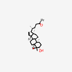 CC(C)C(=O)CC[C@@H](C)[C@H]1C=C[C@H]2C3=C(CC[C@]12C)[C@@]1(C)CC[C@H](O)C(C)(C)[C@@H]1CC3